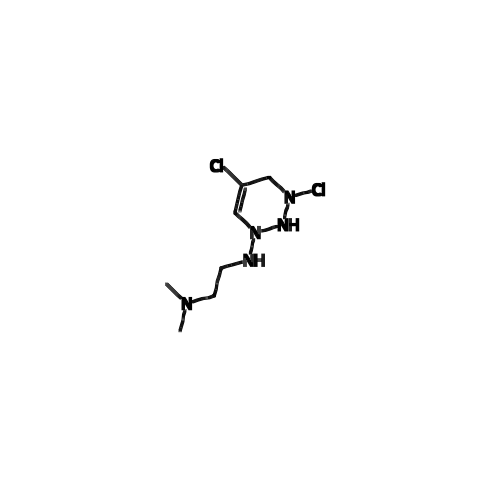 CN(C)CCNN1C=C(Cl)CN(Cl)N1